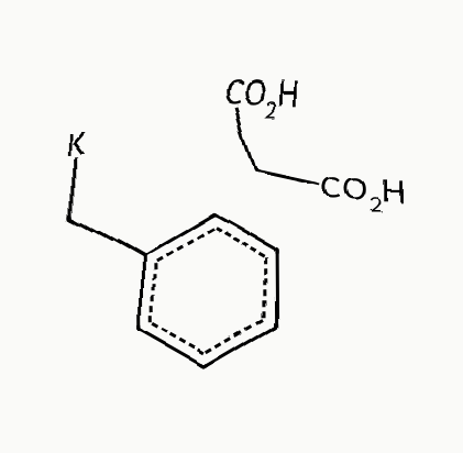 O=C(O)CC(=O)O.[K][CH2]c1ccccc1